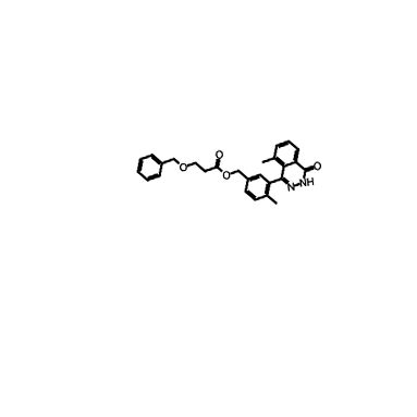 Cc1ccc(COC(=O)CCOCc2ccccc2)cc1-c1n[nH]c(=O)c2cccc(C)c12